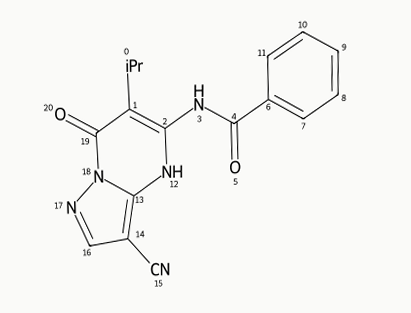 CC(C)c1c(NC(=O)c2ccccc2)[nH]c2c(C#N)cnn2c1=O